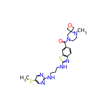 CSc1cnc(NCCCNc2nc3ccc(C(=O)N4CCN(C)C5(COC5)C4)cc3s2)nc1